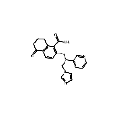 NC(=O)c1c(O[C@H](Cn2ccnc2)c2cccnc2)ccc2c1CCCC2=O